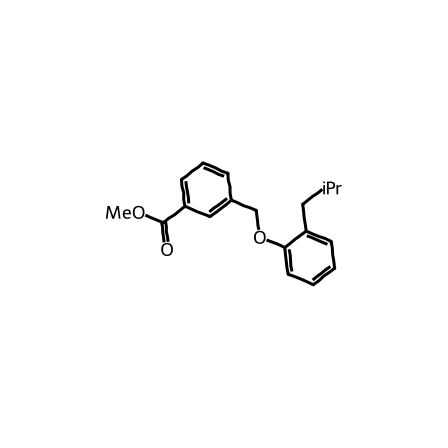 COC(=O)c1cccc(COc2ccccc2CC(C)C)c1